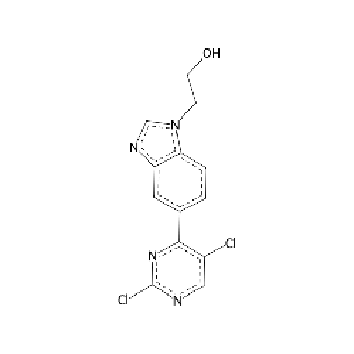 OCCn1cnc2cc(-c3nc(Cl)ncc3Cl)ccc21